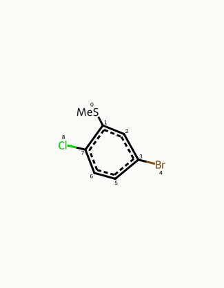 CSc1cc(Br)ccc1Cl